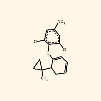 CC1(C2CC=CC=C2Oc2c(Cl)cc([N+](=O)[O-])cc2Cl)CC1